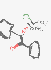 COC.O=C(O)CCl.O=C(c1ccccc1)C(O)c1ccccc1